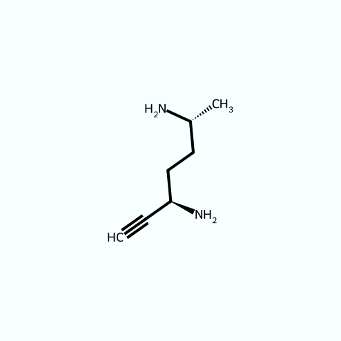 C#C[C@H](N)CC[C@@H](C)N